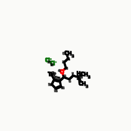 CCCCOC(CC[SiH](C)C)C1=[C]([Ti+2])CC=C1.[Cl-].[Cl-]